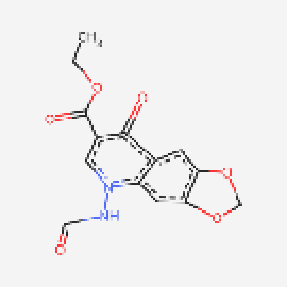 CCOC(=O)c1cn(NC=O)c2cc3c(cc2c1=O)OCO3